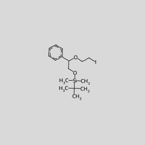 CC(C)(C)[Si](C)(C)OCC(OCCI)c1ccccc1